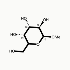 CO[C@H]1OC(CO)[C@H](O)[C@H](O)[C@H]1O